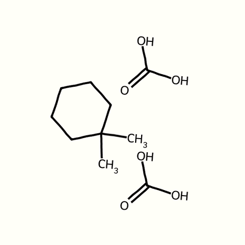 CC1(C)CCCCC1.O=C(O)O.O=C(O)O